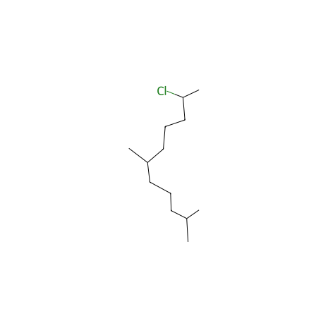 CC(C)CCCC(C)CCCC(C)Cl